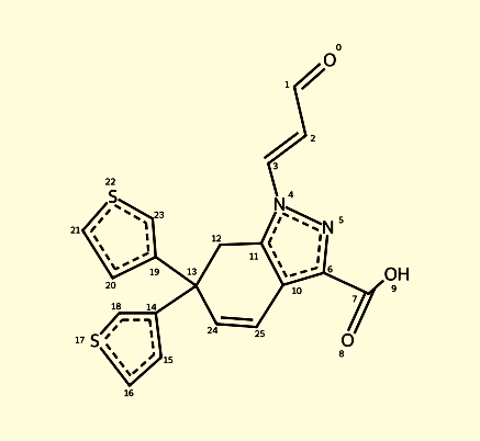 O=CC=Cn1nc(C(=O)O)c2c1CC(c1ccsc1)(c1ccsc1)C=C2